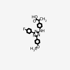 C=C(C(=O)O)c1ccc(Nc2nc(-c3ccc(F)cc3)nc(-c3ccc(OC)cc3)n2)cc1